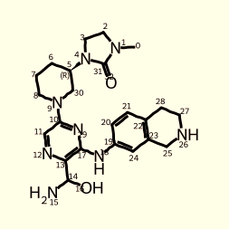 CN1CCN([C@@H]2CCCN(c3cnc(C(N)O)c(Nc4ccc5c(c4)CNCC5)n3)C2)C1=O